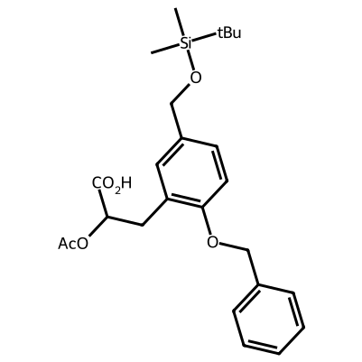 CC(=O)OC(Cc1cc(CO[Si](C)(C)C(C)(C)C)ccc1OCc1ccccc1)C(=O)O